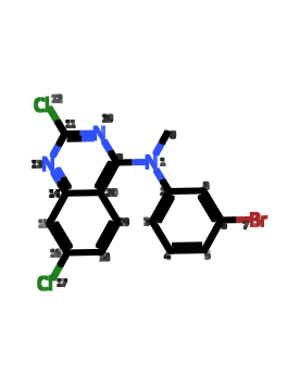 CN(c1cccc(Br)c1)c1nc(Cl)nc2cc(Cl)ccc12